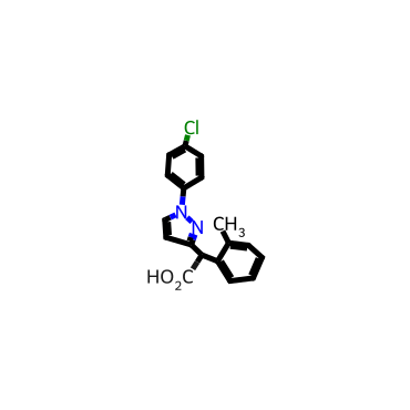 Cc1ccccc1C(C(=O)O)c1ccn(-c2ccc(Cl)cc2)n1